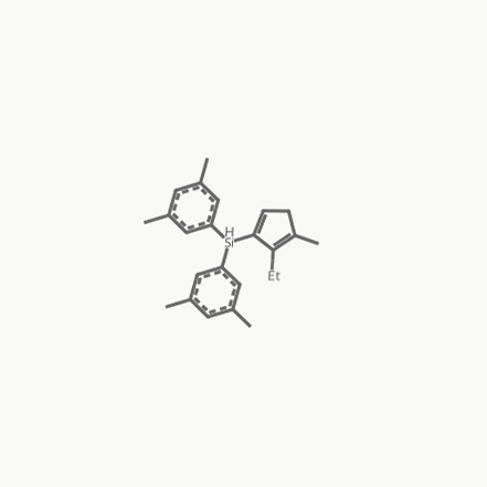 CCC1=C(C)CC=C1[SiH](c1cc(C)cc(C)c1)c1cc(C)cc(C)c1